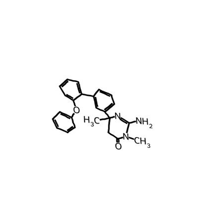 CN1C(=O)CC(C)(c2cccc(-c3ccccc3Oc3ccccc3)c2)N=C1N